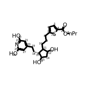 CCCOC(=O)c1ccc(CCCC2C(O)CC(O)[C@@H]2CCc2cc(O)nc(O)c2)s1